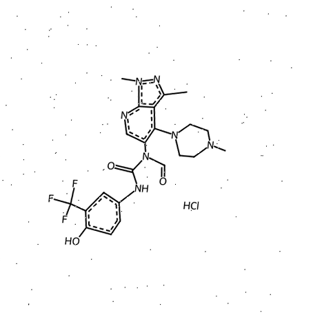 Cc1nn(C)c2ncc(N(C=O)C(=O)Nc3ccc(O)c(C(F)(F)F)c3)c(N3CCN(C)CC3)c12.Cl